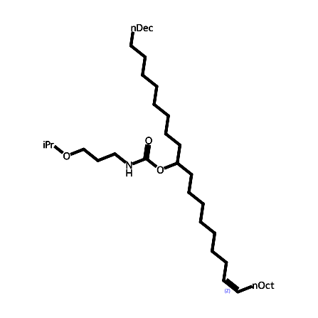 CCCCCCCC/C=C\CCCCCCCC(CCCCCCCCCCCCCCCCCC)OC(=O)NCCCOC(C)C